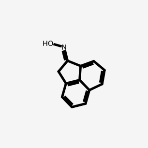 O/N=C1\Cc2cccc3cccc1c23